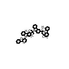 CCCC(C)(c1ccc2c(c1)c1ccccc1n2C(CC)(CC)c1ccc2c(c1)c1ccccc1n2-c1ccnc2c1oc1ccccc12)n1c2ccccc2c2ccccc21